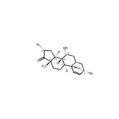 C[C@]12C=C[C@@H](O)CC1C[C@@H](O)[C@@H]1[C@@H]2CC[C@]2(C)C(=O)[C@H](Br)C[C@@H]12